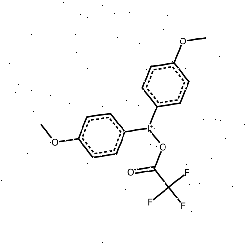 COc1ccc([I+](OC(=O)C(F)(F)F)c2ccc(OC)cc2)cc1